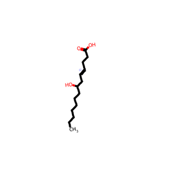 CCCCCCCC(O)C/C=C/CCC(=O)O